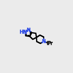 CC(C)N1CCC2(CC1)Cc1c[nH]nc1C2